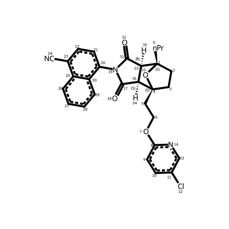 CCC[C@@]12CC[C@@](CCOc3ccc(Cl)cn3)(O1)[C@H]1C(=O)N(c3ccc(C#N)c4ccccc34)C(=O)[C@H]12